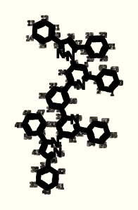 c1ccc(-c2cc(-n3nc(-c4ccccc4)cc3-c3ccccc3)cc(-c3cccc(-c4cc(-n5nc(-c6ccccc6)cc5-c5ccccc5)cc(-c5ccccc5)n4)c3)n2)cc1